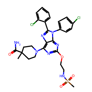 CC1(C(N)=O)CCN(c2nc(OCCNS(C)(=O)=O)nc3c2nc(-c2ccccc2Cl)n3-c2ccc(Cl)cc2)CC1